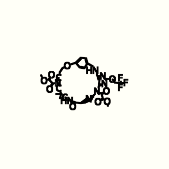 COC(=O)C(=O)N1CCCOc2ccc(cc2)CNc2cc(nc(OCC(F)(F)F)n2)N(C(=O)C(=O)OC)c2ccc(cn2)C(=O)NCC(C)(C)C1